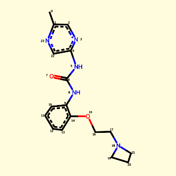 Cc1cnc(NC(=O)Nc2ccccc2OCCN2CCC2)cn1